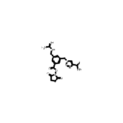 CCCC(F)c1cn(Cc2cc(CNC(=N)N)cc(C(=O)ON3C(=O)CCC3=O)c2)nn1